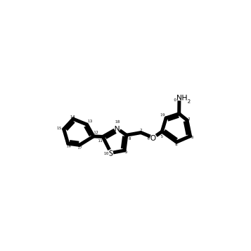 Nc1cccc(OCc2csc(-c3ccccc3)n2)c1